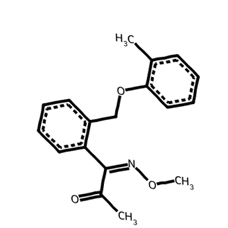 CON=C(C(C)=O)c1ccccc1COc1ccccc1C